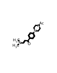 CC(=O)N1CCN(c2ccc(C(=O)C=CN(C)C)cc2)CC1